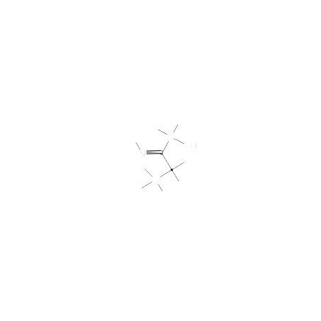 CC[Si](CC)(CC)C(C)(O)C(=NC)[Si](C)(C)C